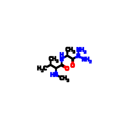 CN[C@H](C(=O)N[C@@H](C)C(=O)N(N)N)C(C)C